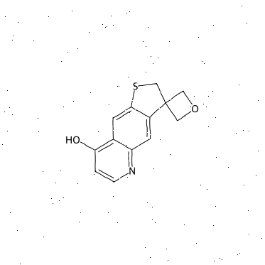 Oc1ccnc2cc3c(cc12)SCC31COC1